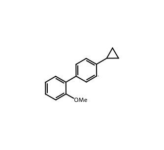 COc1ccccc1-c1c[c]c(C2CC2)cc1